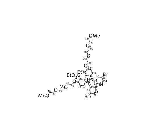 CCOC(=O)c1cc(Nc2cc(Br)cnc2-c2ncc(Br)cc2Nc2ccc(OCCOCCOCCOC)c(CC)c2)ccc1OCCOCCOCCOC